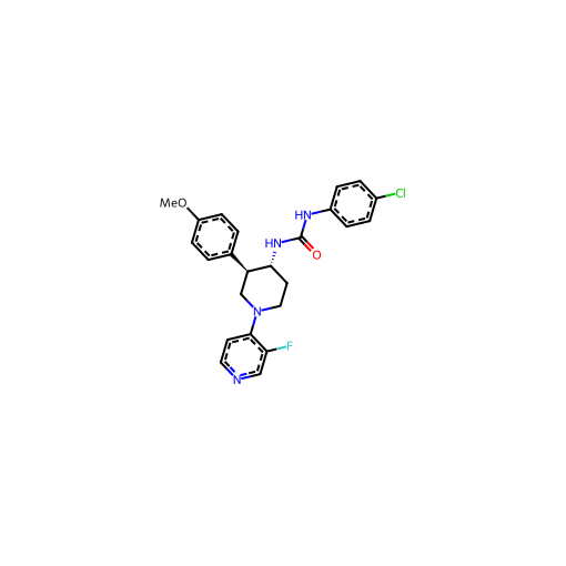 COc1ccc([C@@H]2CN(c3ccncc3F)CC[C@H]2NC(=O)Nc2ccc(Cl)cc2)cc1